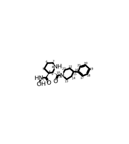 O=C(NO)[C@H]1CCCN[C@@H]1C(=O)N1CCC(c2ccccc2)CC1